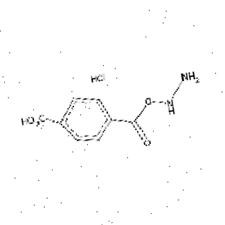 Cl.NNOC(=O)c1ccc(C(=O)O)cc1